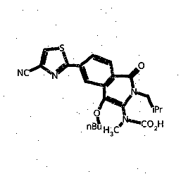 CCCCOc1c(N(C)C(=O)O)n(CC(C)C)c(=O)c2ccc(-c3nc(C#N)cs3)cc12